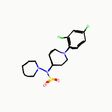 O=[SH](=O)N(C1CCN(c2ccc(Cl)cc2Cl)CC1)N1CCCCC1